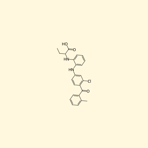 CCC(Nc1ccccc1Nc1ccc(C(=O)c2ccccc2C)c(Cl)c1)C(=O)O